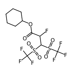 O=C(OC1CCCCC1)C(F)C(S(=O)(=O)C(F)(F)F)S(=O)(=O)C(F)(F)F